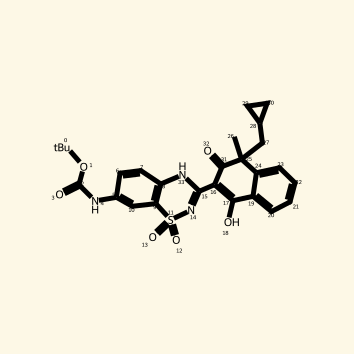 CC(C)(C)OC(=O)Nc1ccc2c(c1)S(=O)(=O)N=C(C1=C(O)c3ccccc3C(C)(CC3CC3)C1=O)N2